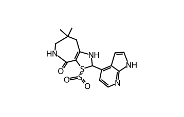 CC1(C)CNC(=O)C2=C(C1)NC(c1ccnc3[nH]ccc13)S2=S(=O)=O